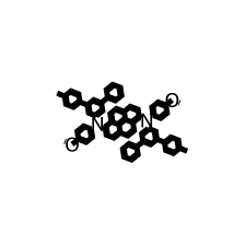 COc1ccc(N(c2cc(-c3ccccc3)cc(-c3ccc(C)cc3)c2)c2ccc3ccc4c(N(c5ccc(OC)cc5)c5cc(-c6ccccc6)cc(-c6ccc(C)cc6)c5)ccc5ccc2c3c54)cc1